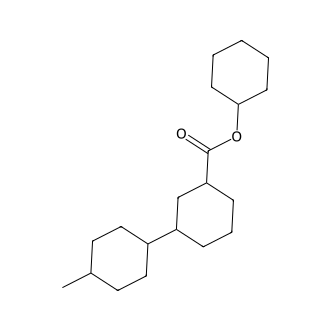 CC1CCC(C2CCCC(C(=O)OC3CCCCC3)C2)CC1